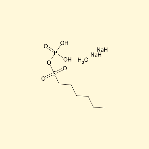 CCCCCCS(=O)(=O)OP(=O)(O)O.O.[NaH].[NaH]